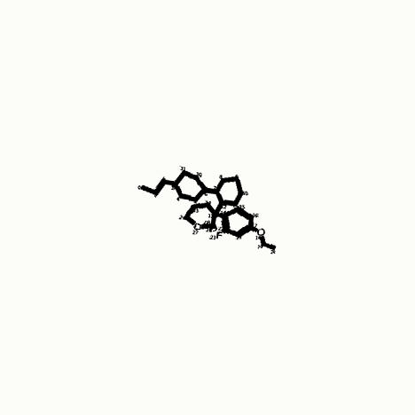 CCCC1CCC(C2CCCCC2C2(c3ccc(OCC)cc3F)CCCOC2=O)CC1